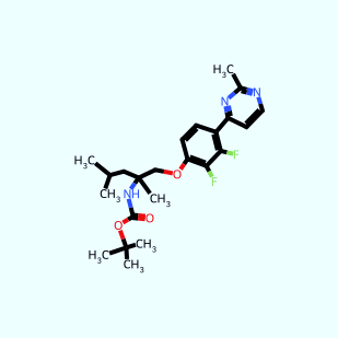 Cc1nccc(-c2ccc(OCC(C)(CC(C)C)NC(=O)OC(C)(C)C)c(F)c2F)n1